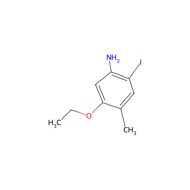 CCOc1cc(N)c(I)cc1C